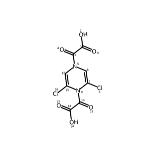 O=C(O)C(=O)N1C=C(Cl)N(C(=O)C(=O)O)C(Cl)=C1